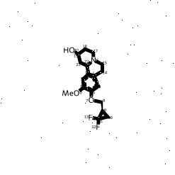 COc1cc2c(cc1OC[C@H]1CC1(F)F)CCN1CCC(O)CC21